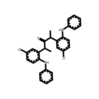 CC(C(=O)C(C)c1cc(Cl)ccc1Nc1ccccc1)c1cc(Cl)ccc1Nc1ccccc1